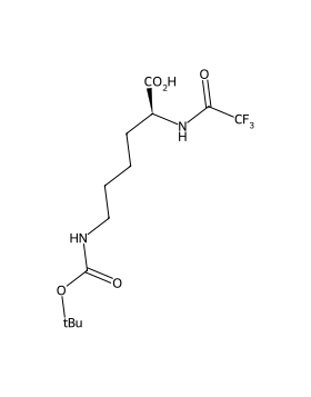 CC(C)(C)OC(=O)NCCCC[C@H](NC(=O)C(F)(F)F)C(=O)O